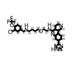 FC(F)(F)Oc1ccc(CNCCCCOCCNc2nc3cc(-c4nn[nH]n4)ccc3c3cnccc23)cc1Cl